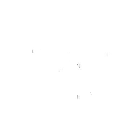 CCCN(CCC)P(Cl)N(CCC)CCC